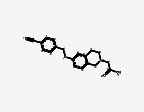 N#Cc1ccc(COc2ccc3c(c2)CCN(CC(=O)O)C3)cc1